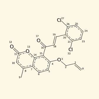 C=CCOc1ccc2c(C)cc(=O)oc2c1C(=O)C=Cc1c(Cl)cccc1Cl